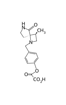 C[C@H]1CN(Cc2ccc(OC(=O)C(=O)O)cc2)[C@]12CCNC2=O